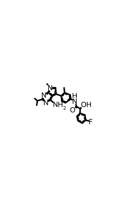 Cc1cc(NC(=O)C(O)c2cccc(F)c2)ccc1-c1cn(C)c2nc(C(C)C)nc(N)c12